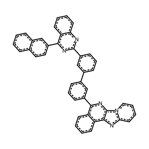 c1cc(-c2cccc(-c3nc4c(nc5ccccn54)c4ccccc34)c2)cc(-c2nc(-c3ccc4ccccc4c3)c3ccccc3n2)c1